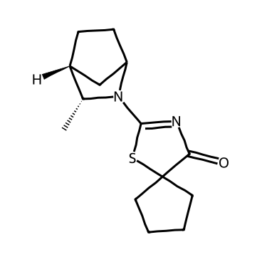 C[C@@H]1[C@@H]2CCC(C2)N1C1=NC(=O)C2(CCCC2)S1